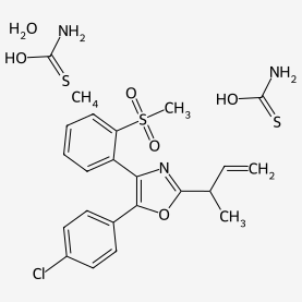 C.C=CC(C)c1nc(-c2ccccc2S(C)(=O)=O)c(-c2ccc(Cl)cc2)o1.NC(O)=S.NC(O)=S.O